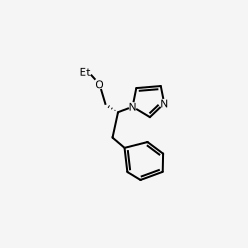 CCOC[C@@H](Cc1ccccc1)n1ccnc1